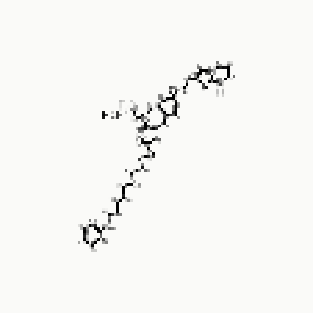 Cl.O=C(C[C@@H]1Cc2ccc(OCCc3cn4c(n3)NCCC4)cc2CN(CC(F)(F)F)C1=O)OCCCCCCCCCCc1ccccc1